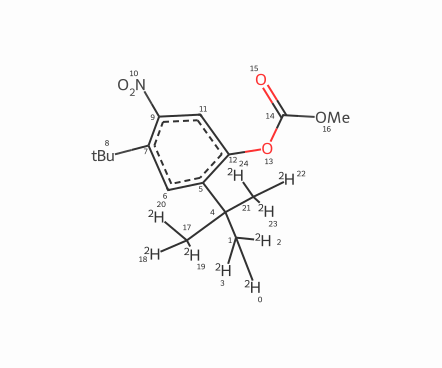 [2H]C([2H])([2H])C(c1cc(C(C)(C)C)c([N+](=O)[O-])cc1OC(=O)OC)(C([2H])([2H])[2H])C([2H])([2H])[2H]